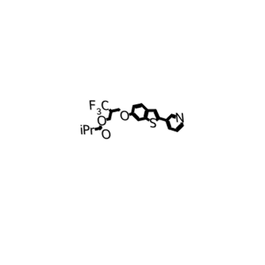 CC(C)C(=O)OCC(COc1ccc2cc(-c3cccnc3)sc2c1)C(F)(F)F